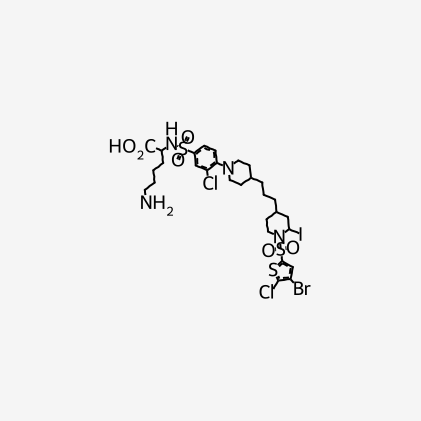 NCCCCC(NS(=O)(=O)c1ccc(N2CCC(CCCC3CCN(S(=O)(=O)c4cc(Br)c(Cl)s4)C(I)C3)CC2)c(Cl)c1)C(=O)O